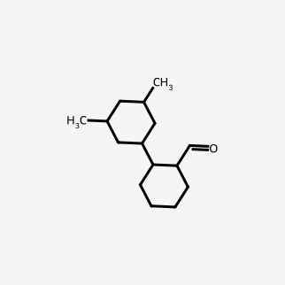 CC1CC(C)CC(C2CCCCC2C=O)C1